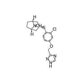 CN1[C@@H]2CC[C@H]1C[C@H](Sc1ccc(OCc3nc[nH]n3)cc1Cl)C2